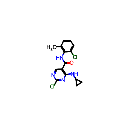 Cc1cccc(Cl)c1NC(=O)c1cnc(Cl)nc1NC1CC1